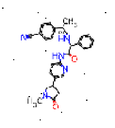 C[C@H](CNC(C(=O)Nc1ccc(C2CC(=O)N(C)C2)cn1)c1ccccc1)c1ccc(C#N)cc1